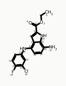 CCOC(=O)c1cc2c(Nc3ccc(F)c(Cl)c3)ccc(N)c2[nH]1